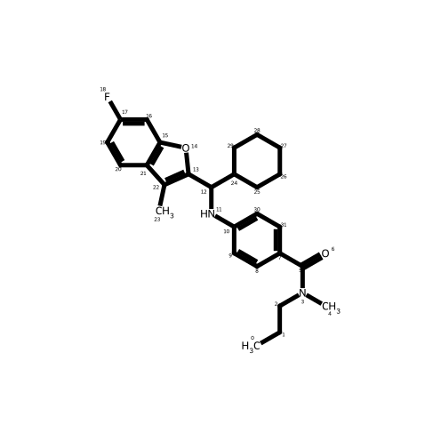 CCCN(C)C(=O)c1ccc(NC(c2oc3cc(F)ccc3c2C)C2CCCCC2)cc1